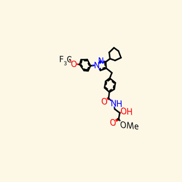 COC(=O)C(O)CNC(=O)c1ccc(Cc2cn(-c3ccc(OC(F)(F)F)cc3)nc2C2CCCCC2)cc1